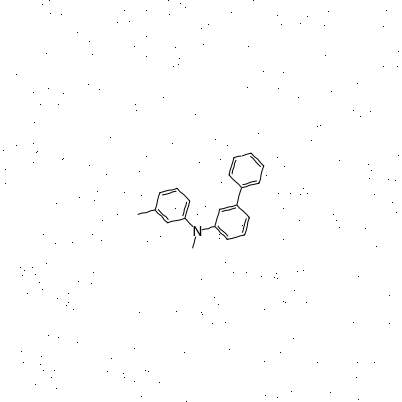 Cc1cccc(N(C)c2cccc(-c3ccccc3)c2)c1